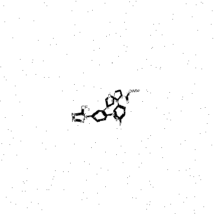 COC(=O)[C@H]1CC[C@@]2(C[C@@H](c3cc(-n4nnnc4C(F)(F)F)ccc3SC(C)C)CO2)[C@@H]1c1ccc(F)cc1